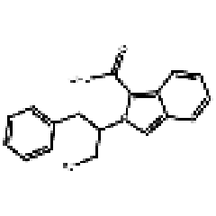 CC(=O)CC(Cc1ccccc1)n1cc2ccccc2c1C(=O)C=O